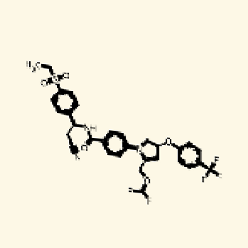 CCS(=O)(=O)c1ccc([C@H](CC#N)NC(=O)c2ccc(N3C[C@@H](Oc4ccc(C(F)(F)F)cc4)C[C@H]3COC(F)F)cc2)cc1